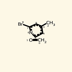 C=O.Cc1ccnc(Br)c1